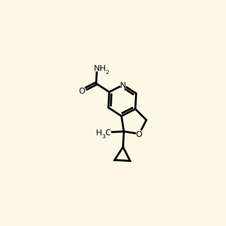 CC1(C2CC2)OCc2cnc(C(N)=O)cc21